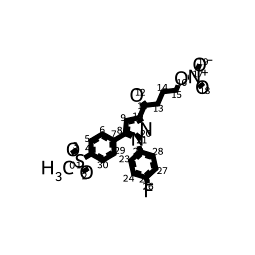 CS(=O)(=O)c1ccc(-c2cc(C(=O)CCCO[N+](=O)[O-])nn2-c2ccc(F)cc2)cc1